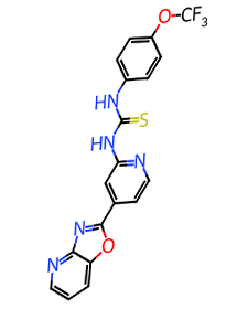 FC(F)(F)Oc1ccc(NC(=S)Nc2cc(-c3nc4ncccc4o3)ccn2)cc1